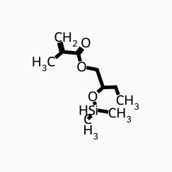 C=C(C)C(=O)OCC(CC)O[SiH](C)C